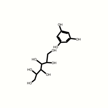 OCC(O)C(O)C(O)C(O)CO.Oc1cc(O)cc(O)c1